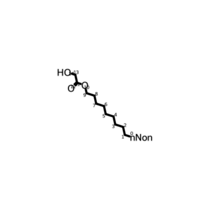 CCCCCCCCCCCCCCCCCCOC(=O)CO